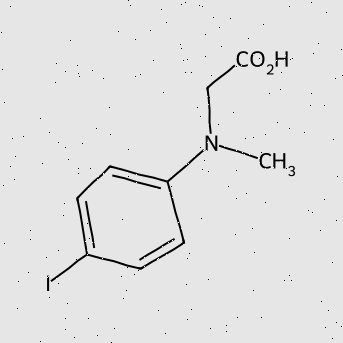 CN(CC(=O)O)c1ccc(I)cc1